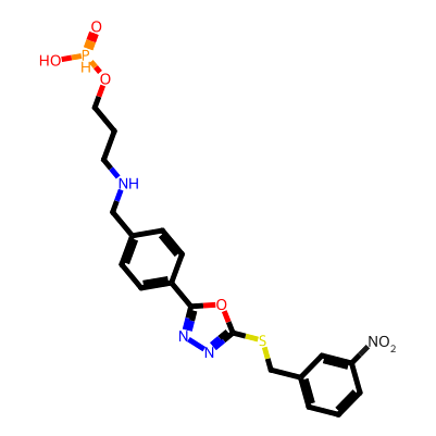 O=[N+]([O-])c1cccc(CSc2nnc(-c3ccc(CNCCCO[PH](=O)O)cc3)o2)c1